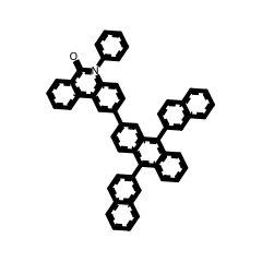 O=c1c2ccccc2c2cc(-c3ccc4c(-c5ccc6ccccc6c5)c5ccccc5c(-c5ccc6ccccc6c5)c4c3)ccc2n1-c1ccccc1